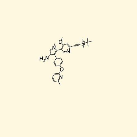 COc1cc(C#C[Si](C)(C)C(C)(C)C)ncc1-c1c(-c2ccc(Oc3cccc(C)n3)cc2)c(N)cn1C